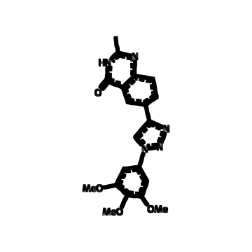 COc1cc(-n2cc(-c3ccc4nc(C)[nH]c(=O)c4c3)nn2)cc(OC)c1OC